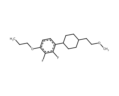 CCCOc1ccc(C2CCC(CCOC)CC2)c(F)c1F